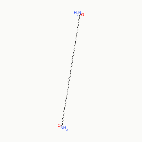 NC(=O)CCCCCCCCCCCCCCCCCCCCCCCCCCCCCCCCCCCCCCCCCCCCCCCCCCCCCCCCCCCCC(N)=O